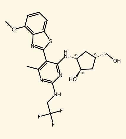 COc1cccc2sc(-c3c(C)nc(NCC(F)(F)F)nc3N[C@@H]3C[C@H](CO)C[C@H]3O)nc12